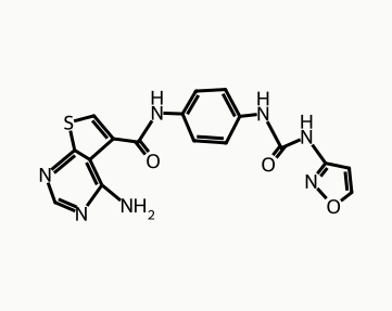 Nc1ncnc2scc(C(=O)Nc3ccc(NC(=O)Nc4ccon4)cc3)c12